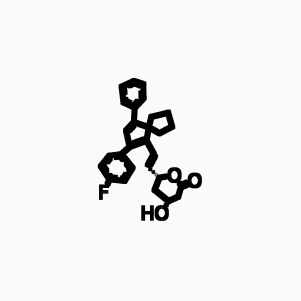 O=C1C[C@@H](O)C[C@H](C=CC2=C(c3ccc(F)cc3)C=C(c3ccccc3)C23CCCC3)O1